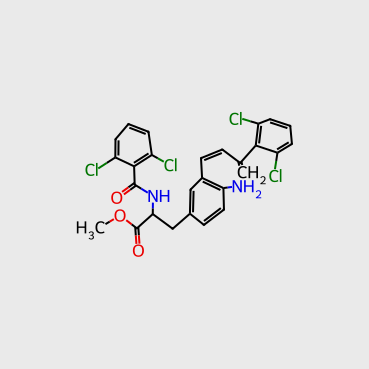 C=C(/C=C\c1cc(CC(NC(=O)c2c(Cl)cccc2Cl)C(=O)OC)ccc1N)c1c(Cl)cccc1Cl